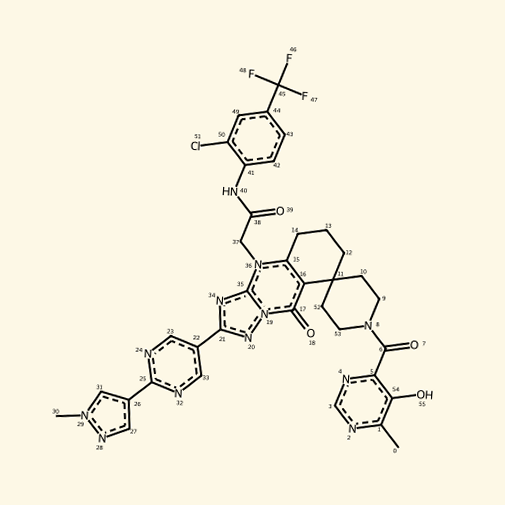 Cc1ncnc(C(=O)N2CCC3(CCCc4c3c(=O)n3nc(-c5cnc(-c6cnn(C)c6)nc5)nc3n4CC(=O)Nc3ccc(C(F)(F)F)cc3Cl)CC2)c1O